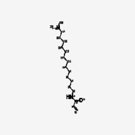 C=CC(=O)NCCCCCCCCCCCCCN(C)C